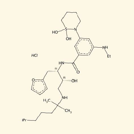 CCNc1cc(C(=O)N[C@@H](Cc2ccco2)[C@H](O)CNC(C)(C)CCCC(C)C)cc(N2CCCCS2(O)O)c1.Cl